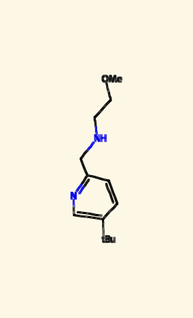 COCCNCc1ccc(C(C)(C)C)cn1